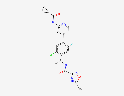 C[C@@H](NC(=O)c1noc(C(C)(C)C)n1)c1cc(F)c(-c2ccnc(NC(=O)C3CC3)c2)cc1Cl